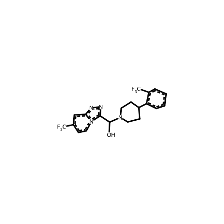 OC(c1nnc2cc(C(F)(F)F)ccn12)N1CCC(c2ccccc2C(F)(F)F)CC1